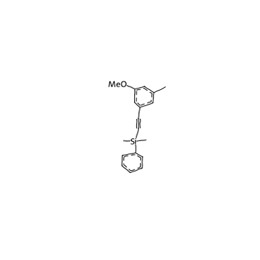 COc1cc(C)cc(C#C[Si](C)(C)c2ccccc2)c1